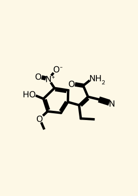 CCC(=C(C#N)C(N)=O)c1cc(OC)c(O)c([N+](=O)[O-])c1